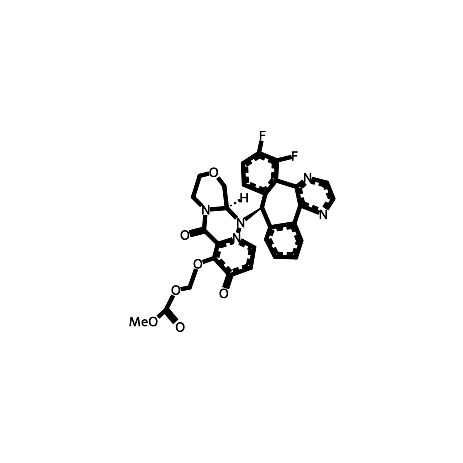 COC(=O)OCOc1c2n(ccc1=O)N([C@@H]1c3ccccc3-c3nccnc3-c3c1ccc(F)c3F)[C@@H]1COCCN1C2=O